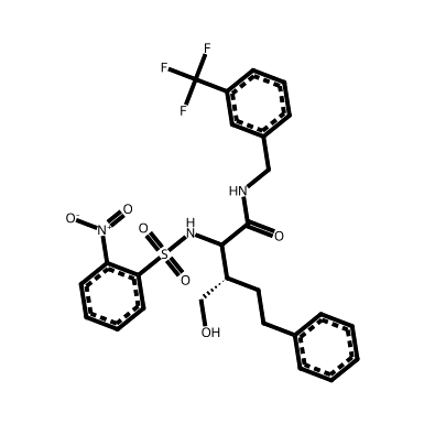 O=C(NCc1cccc(C(F)(F)F)c1)C(NS(=O)(=O)c1ccccc1[N+](=O)[O-])[C@@H](CO)CCc1ccccc1